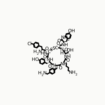 C[C@@H](O)[C@@H]1NC(=O)[C@H](CCCCN)NC(=O)[C@@H](Cc2ccc(CN)cc2)NC(=O)[C@H](Cc2ccc(O)cc2)NC(=O)[C@H](NC(=O)[C@@H](N)Cc2ccc(Cl)cc2)CSSC[C@@H](C(=O)N[C@H](Cc2ccc(O)cc2)C(N)=O)NC1=O